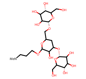 CNCCCOC1OC(CO[C@H]2OC(CO)[C@@H](O)C(O)C2O)CC(O[C@H]2OC(CO)[C@@H](O)C(O)C2O)C1O